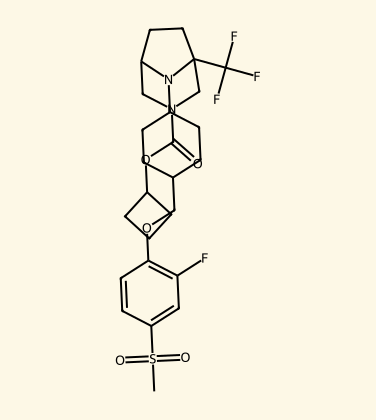 CS(=O)(=O)c1ccc(OCC2CCC(N3C4CCC3(C(F)(F)F)CN(C(=O)OC3CCC3)C4)CC2)c(F)c1